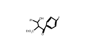 CCOC(=O)C(C(=O)c1ccc(F)cc1)C(O)C(C)C